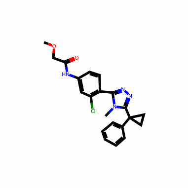 COCC(=O)Nc1ccc(-c2nnc(C3(c4ccccc4)CC3)n2C)c(Cl)c1